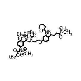 CC[Si](CC)(CC)O[C@@H](CN(CCOc1ccc2c(CCC(=O)N(C)C)nn(C3CCCCO3)c2c1)C(=O)OC(C)(C)C)c1cccc(N(C(=O)OC(C)(C)C)S(C)(=O)=O)c1